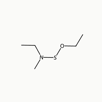 CCOSN(C)CC